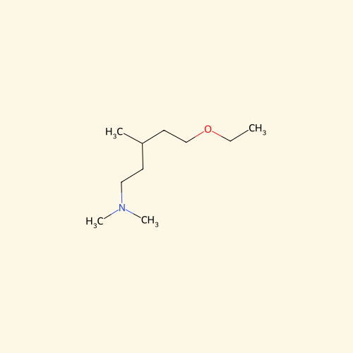 CCOCCC(C)CCN(C)C